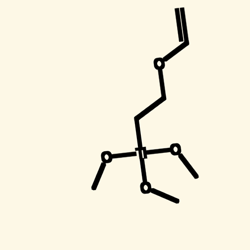 C=COC[CH2][Ti]([O]C)([O]C)[O]C